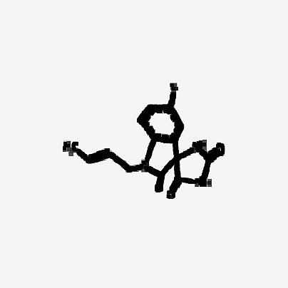 C/C=C/CN1C(=O)C2(NC(=O)NC2=O)c2cc(F)ccc21